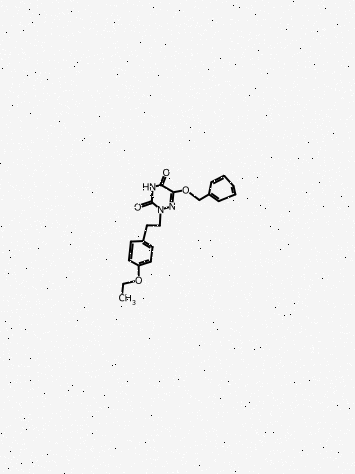 CCOc1ccc(CCn2nc(OCc3ccccc3)c(=O)[nH]c2=O)cc1